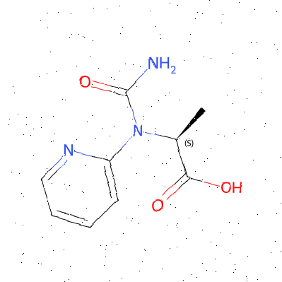 C[C@@H](C(=O)O)N(C(N)=O)c1ccccn1